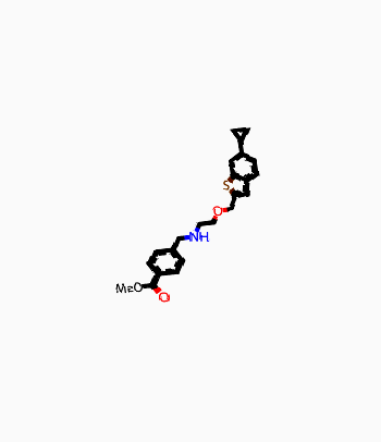 COC(=O)c1ccc(CNCCOCc2cc3ccc(C4CC4)cc3s2)cc1